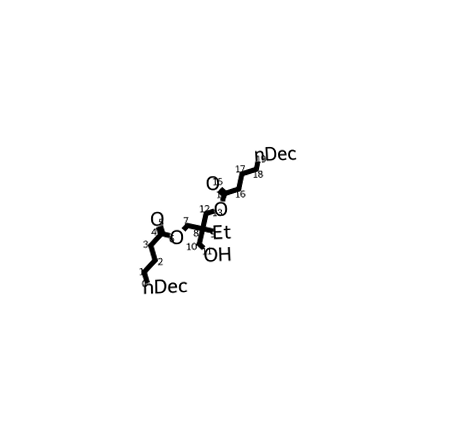 CCCCCCCCCCCCCC(=O)OCC(CC)(CO)COC(=O)CCCCCCCCCCCCC